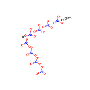 O=[N+]([O-])[O-].O=[N+]([O-])[O-].O=[N+]([O-])[O-].O=[N+]([O-])[O-].O=[N+]([O-])[O-].O=[N+]([O-])[O-].O=[N+]([O-])[O-].O=[N+]([O-])[O-].[B+3].[Fe+2].[Nd+3]